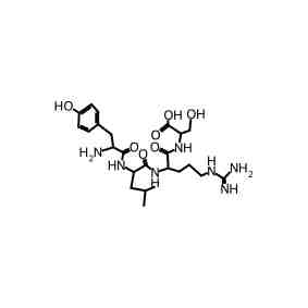 CC(C)CC(NC(=O)C(N)Cc1ccc(O)cc1)C(=O)NC(CCCNC(=N)N)C(=O)NC(CO)C(=O)O